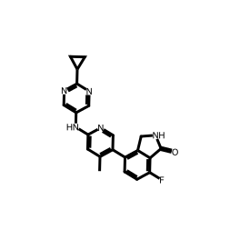 Cc1cc(Nc2cnc(C3CC3)nc2)ncc1-c1ccc(F)c2c1CNC2=O